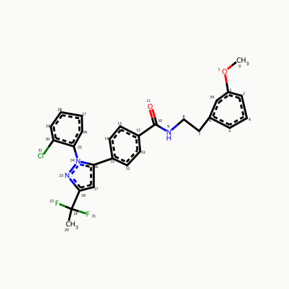 COc1cccc(CCNC(=O)c2ccc(-c3cc(C(C)(F)F)nn3-c3ccccc3Cl)cc2)c1